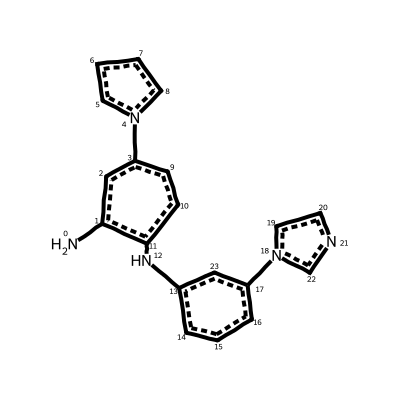 Nc1cc(-n2cccc2)ccc1Nc1cccc(-n2ccnc2)c1